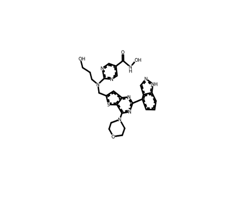 O=C(NO)c1cnc(N(CCCO)Cc2cc3nc(-c4cccc5[nH]ncc45)nc(N4CCOCC4)c3s2)nc1